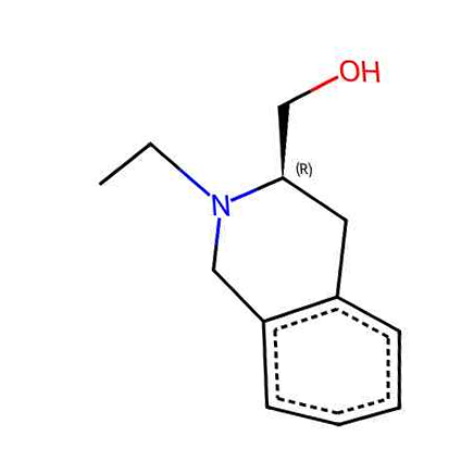 CCN1Cc2ccccc2C[C@@H]1CO